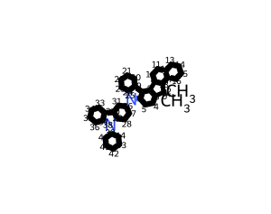 CC1(C)c2ccc3c(c2-c2ccc4ccccc4c21)c1ccccc1n3-c1ccc2c(c1)c1ccccc1n2-c1ccccc1